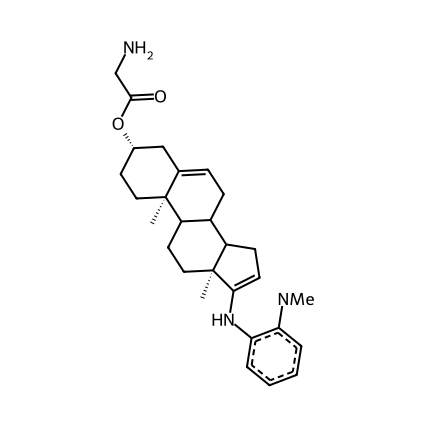 CNc1ccccc1NC1=CCC2C3CC=C4C[C@@H](OC(=O)CN)CC[C@]4(C)C3CC[C@]12C